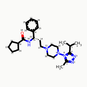 Cc1nnc(C(C)C)n1N1CCN(CC[C@H](NC(=O)C2CCCC2)c2ccccc2)CC1